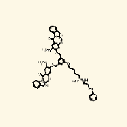 COc1cc2c(cc1OCc1cc(COc3cc4c(cc3OC)C(=O)N3c5ccccc5C[C@H]3C=N4)cc(OCCCCN(O)NCCSSc3ccccn3)c1)N=C[C@@H]1Cc3ccccc3N1C2=O